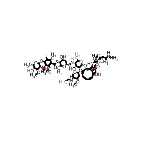 CCN[C@H]1CO[C@@H](O[C@H]2[C@H](O[C@H]3C#CC=CC#C[C@]4(O)CC(=O)C(NC(=O)OC)=C3/C4=C\CSSC(C)(C)CC(=O)NN)O[C@H](C)[C@@H](NO[C@H]3C[C@H](O)[C@H](SC(=O)c4c(C)c(I)c(O[C@@H]5O[C@@H](C)[C@H](O)[C@@H](OC)[C@H]5O)c(OC)c4OC)[C@@H](C)O3)[C@@H]2O)C[C@@H]1OC